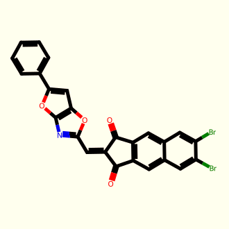 O=C1C(=Cc2nc3oc(-c4ccccc4)cc3o2)C(=O)c2cc3cc(Br)c(Br)cc3cc21